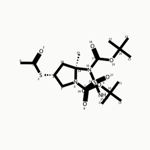 CC(=O)S[C@H]1CN(C(=O)OC(C)(C)C)[C@](C)(N(C(=O)OC(C)(C)C)S(N)(=O)=O)C1